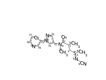 CC(C/S(C)=N/C#N)C(=O)N(C)c1cnn(-c2cccnc2)c1